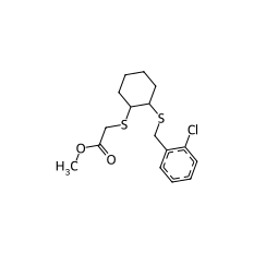 COC(=O)CSC1CCCCC1SCc1ccccc1Cl